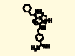 N=C(N)c1ccc(CNC(=O)[C@]23C[C@H]2CCN3C(=O)[C@H](N)CC2CCCCC2)cc1